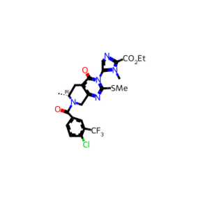 CCOC(=O)c1ncc(-n2c(SC)nc3c(c2=O)C[C@@H](C)N(C(=O)c2ccc(Cl)c(C(F)(F)F)c2)C3)n1C